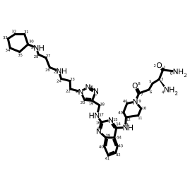 NC(=O)[C@@H](N)CCC(=O)N1CCC(Nc2nc(NCc3cn(CCCNCCCNC4CCCCC4)nn3)nc3ccccc23)CC1